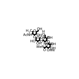 CNC(=O)C1OC(OC2C(O)C(CO)OC(OC3C(C(=O)O)OC(OC4C(O)C(CO)O[C@H](C)C4NC(C)=O)C(O)C3O)C2NC(C)=O)C(O)C(O)C1OC